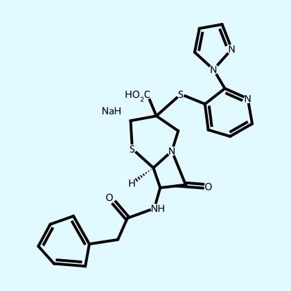 O=C(Cc1ccccc1)NC1C(=O)N2CC(Sc3cccnc3-n3cccn3)(C(=O)O)CS[C@H]12.[NaH]